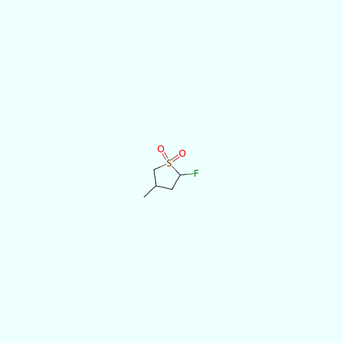 CC1CC(F)S(=O)(=O)C1